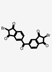 O=C(c1ccc2c(c1)C(=O)C(Br)C2=O)c1ccc2c(c1)C(=O)C(Br)C2=O